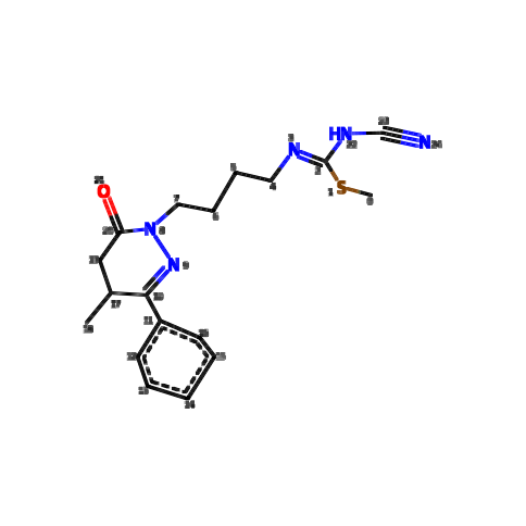 CSC(=NCCCCN1N=C(c2ccccc2)C(C)CC1=O)NC#N